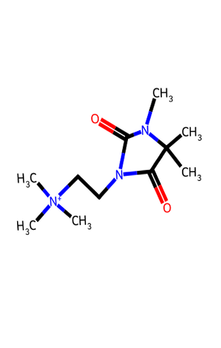 CN1C(=O)N(CC[N+](C)(C)C)C(=O)C1(C)C